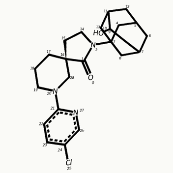 O=C1N(C23CC4CC(C2)C(O)C(C4)C3)CC[C@@]12CCCN(c1ccc(Cl)cn1)C2